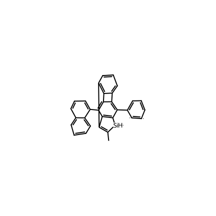 CC1=c2c3c(c(-c4[c][c]ccc4)c4c5cccc2c5c4c3-c2cccc3ccccc23)[SiH]1